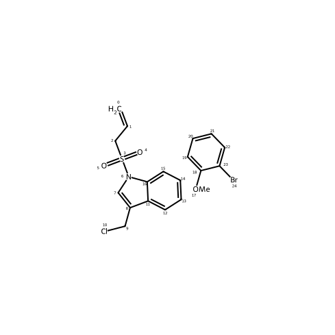 C=CCS(=O)(=O)n1cc(CCl)c2ccccc21.COc1ccccc1Br